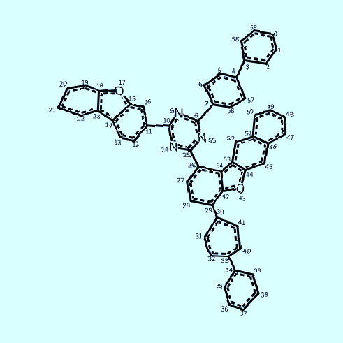 c1ccc(-c2ccc(-c3nc(-c4ccc5c(c4)oc4ccccc45)nc(-c4ccc(-c5ccc(-c6ccccc6)cc5)c5oc6cc7ccccc7cc6c45)n3)cc2)cc1